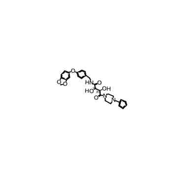 O=C(NCc1ccc(Oc2ccc3c(c2)OCO3)cc1)[C@H](O)[C@@H](O)C(=O)N1CCN(c2ccccc2)CC1